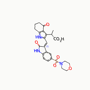 CC(C(=O)O)c1c(/C=C2\C(=O)Nc3ccc(S(=O)(=O)N4CCOCC4)cc32)[nH]c2c1C(=O)CCC2